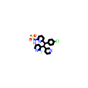 CS(=O)(=O)Nc1cccc(C(c2ccc(Cl)cc2)C(c2cccnc2)c2cccnc2F)n1